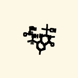 Cc1cc([C@@H](C)N[S+]([O-])C(C)(C)C)c2nc(C(C)(C)C#N)n(C)c(=O)c2c1